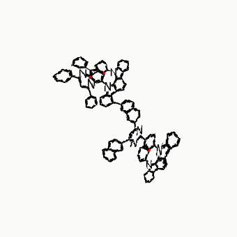 c1ccc(-c2ccc(-n3c4cccc(-c5ccc6ccc(-c7cc(-c8ccc9ccccc9c8)nc(-c8ccc(-n9c%10ccccc%10c%10ccc%11c%12ccccc%12n(-c%12ccccc%12)c%11c%109)cc8)n7)cc6c5)c4c4ccc5c6ccccc6n(-c6cccc(-c7nc(-c8ccccc8)cc(-c8ccccc8)n7)c6)c5c43)cc2)cc1